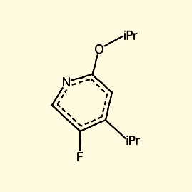 CC(C)Oc1cc(C(C)C)c(F)cn1